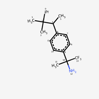 CC(C)C(C)(C)C(C)c1ccc(C(C)(N)C(F)(F)F)cc1